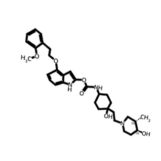 COc1ccccc1CCOc1cccc2[nH]c(OC(=O)NC3CCC(O)(CCN4CC[C@H](O)[C@@H](C)C4)CC3)cc12